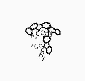 CC1(C)c2ccccc2-c2cc(-n3c4ccccc4c4ccc5c(c43)C(C)(C)c3c-5ccc4ccccc34)ccc21